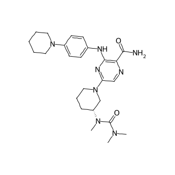 CN(C)C(=O)N(C)[C@@H]1CCCN(c2cnc(C(N)=O)c(Nc3ccc(N4CCCCC4)cc3)n2)C1